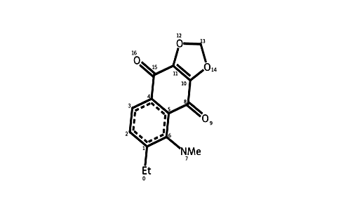 CCc1ccc2c(c1NC)C(=O)C1=C(OCO1)C2=O